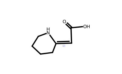 O=C(O)/C=C1/CCCCN1